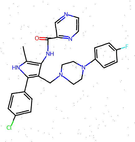 Cc1[nH]c(-c2ccc(Cl)cc2)c(CN2CCN(c3ccc(F)cc3)CC2)c1NC(=O)c1cnccn1